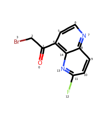 O=C(CBr)c1ccnc2ccc(F)nc12